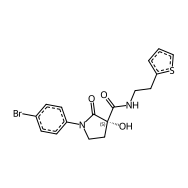 O=C(NCCc1cccs1)[C@@]1(O)CCN(c2ccc(Br)cc2)C1=O